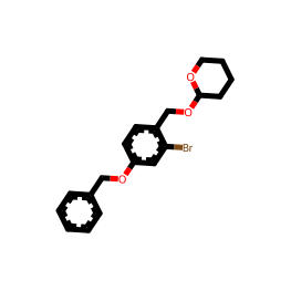 Brc1cc(OCc2ccccc2)ccc1COC1CCCCO1